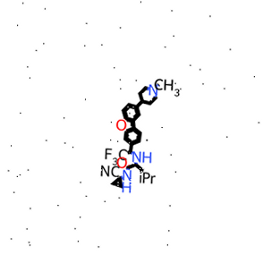 CC(C)CC(NC(c1ccc2c(c1)oc1ccc(C3CCN(C)CC3)cc12)C(F)(F)F)C(=O)NC1(C#N)CC1